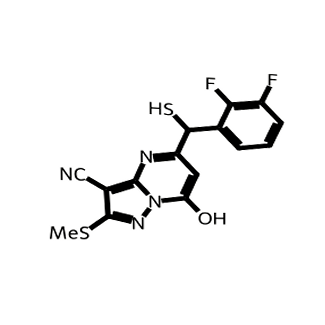 CSc1nn2c(O)cc(C(S)c3cccc(F)c3F)nc2c1C#N